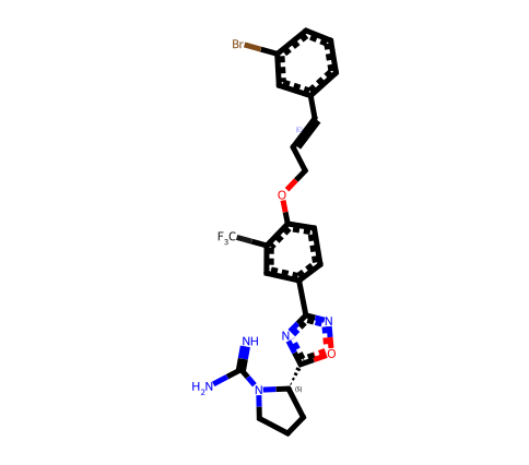 N=C(N)N1CCC[C@H]1c1nc(-c2ccc(OC/C=C/c3cccc(Br)c3)c(C(F)(F)F)c2)no1